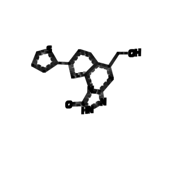 O=c1[nH]nc2cc(CO)c3ccc(-c4cccs4)cc3n12